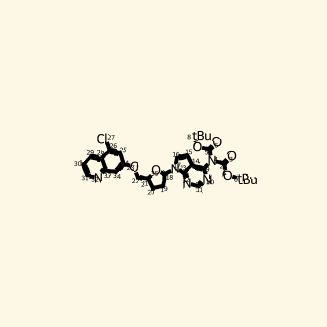 CC(C)(C)OC(=O)N(C(=O)OC(C)(C)C)c1ncnc2c1ccn2C1CCC(COc2cc(Cl)c3cccnc3c2)O1